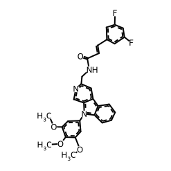 COc1cc(-n2c3ccccc3c3cc(CNC(=O)/C=C/c4cc(F)cc(F)c4)ncc32)cc(OC)c1OC